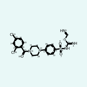 N=CSC(=N)NS(=O)(=O)c1ccc(N2CCN(C(=O)c3ccc(Cl)cc3Cl)CC2)cc1